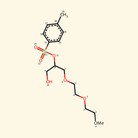 COCCOCCOCC(CO)OS(=O)(=O)c1ccc(C)cc1